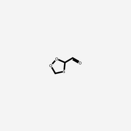 O=CC1OOCS1